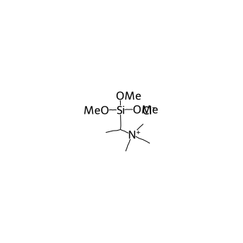 CO[Si](OC)(OC)C(C)[N+](C)(C)C.[Cl-]